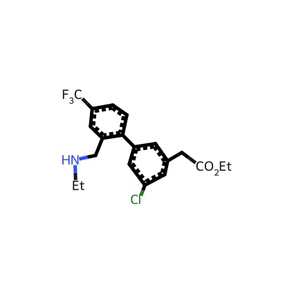 CCNCc1cc(C(F)(F)F)ccc1-c1cc(Cl)cc(CC(=O)OCC)c1